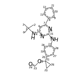 CC(C)(C)Nc1cc(-c2ccccc2)nc(Nc2ccc(C3(OC=O)CC3)cc2)n1